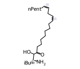 CCCCC/C=C\C/C=C\CCCCCCCC(=O)C(O)[C@@H](N)[C@@H](C)CC